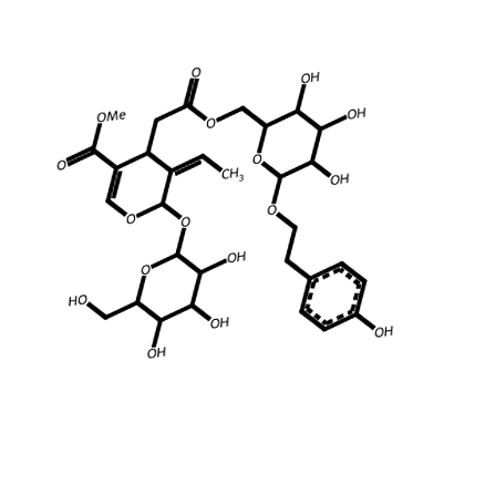 CC=C1C(OC2OC(CO)C(O)C(O)C2O)OC=C(C(=O)OC)C1CC(=O)OCC1OC(OCCc2ccc(O)cc2)C(O)C(O)C1O